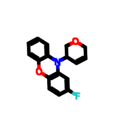 Fc1ccc2c(c1)N(C1C=CCOC1)c1ccccc1O2